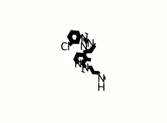 CNCCCN(C)c1nccc(-c2ccnc(N(C)c3cccc(Cl)c3)n2)c1C